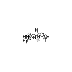 N#Cc1c(-c2ccc(S(=O)(=O)NC(CF)CF)cn2)n(C2CCC2)c2cc(OC(F)(F)F)ccc12